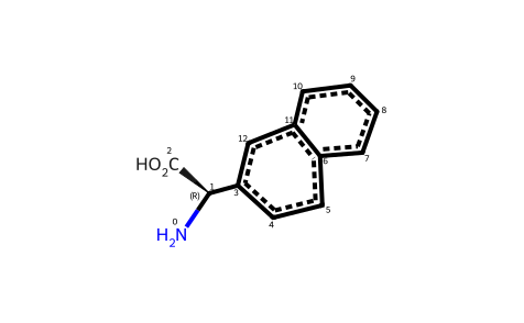 N[C@@H](C(=O)O)c1ccc2ccccc2c1